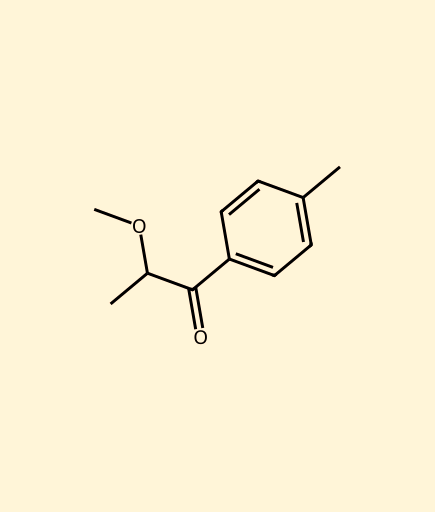 COC(C)C(=O)c1ccc(C)cc1